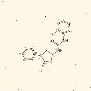 O=C(Nc1ccccc1Cl)NC1CC(=O)N(c2ccccc2)C1